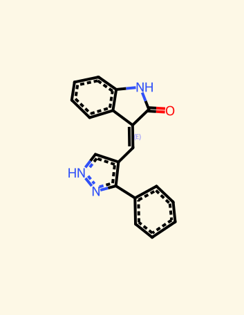 O=C1Nc2ccccc2/C1=C\c1c[nH]nc1-c1ccccc1